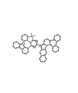 CC1(C)c2ccccc2-c2c(-c3cccc4c3oc3ccccc34)nc(-n3c4cc5ccccc5cc4c4c5c6ccccc6c6ccccc6c5ccc43)nc21